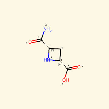 NC(=O)[C@@H]1C[C@H](C(=O)O)N1